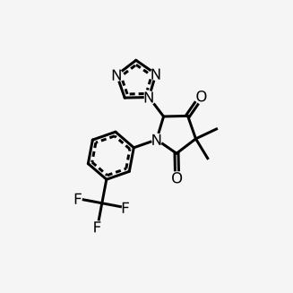 CC1(C)C(=O)C(n2cncn2)N(c2cccc(C(F)(F)F)c2)C1=O